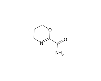 NC(=O)C1=NCCCO1